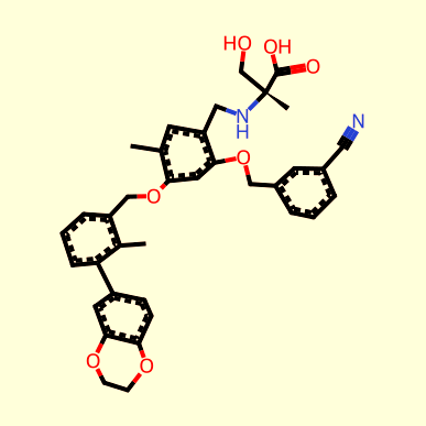 Cc1cc(CN[C@](C)(CO)C(=O)O)c(OCc2cccc(C#N)c2)cc1OCc1cccc(-c2ccc3c(c2)OCCO3)c1C